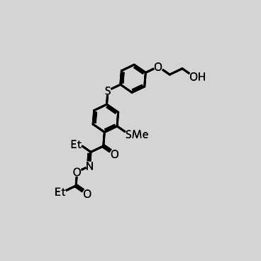 CCC(=O)O/N=C(\CC)C(=O)c1ccc(Sc2ccc(OCCO)cc2)cc1SC